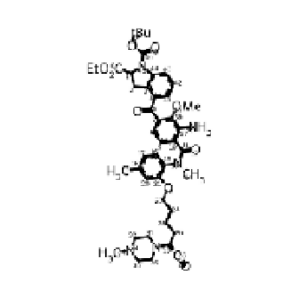 CCOC(=O)C1Cc2c(C(=O)c3ccc(C(=O)N(C)c4ccc(C)cc4OCCCCC(=C=O)N4CCN(C)CC4)c(N)c3OC)cccc2N1C(=O)OC(C)(C)C